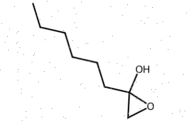 CCCCCCC1(O)CO1